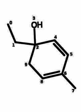 CCC1(O)C=CC(C)=CC1